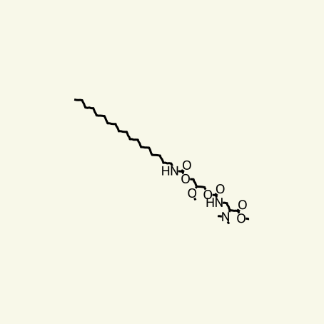 CCCCCCCCCCCCCCCCCCNC(=O)OCC(COC(=O)NCC(C(=O)OC)N(C)C)OC